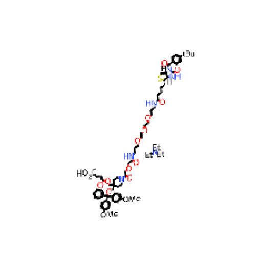 CCN(CC)CC.COc1ccc(C(OCC2(COC(=O)CCC(=O)O)CCN(C(=O)COCC(=O)NCCCOCCOCCOCCCNC(=O)CCCC[C@@H]3SC[C@H]4[C@@H]3NC(=O)N4C(=O)c3ccc(C(C)(C)C)cc3)CC2)(c2ccccc2)c2ccc(OC)cc2)cc1